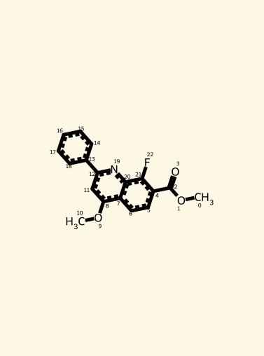 COC(=O)c1ccc2c(OC)cc(-c3ccccc3)nc2c1F